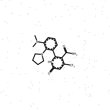 CN(C)c1cccc(-c2[nH]c(=O)cc(C(F)(F)F)c2C(N)=O)c1N1CCCC1